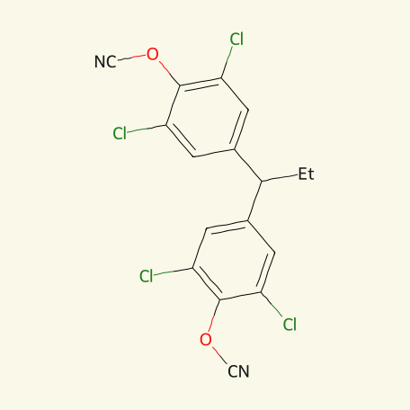 CCC(c1cc(Cl)c(OC#N)c(Cl)c1)c1cc(Cl)c(OC#N)c(Cl)c1